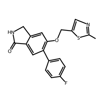 Cc1ncc(COc2cc3c(cc2-c2ccc(F)cc2)C(=O)NC3)s1